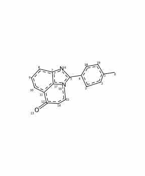 Cc1ccc(-c2nc3cccc4c(=O)ccn2c34)cc1